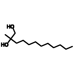 CCCCCCCCCCC(C)(O)CO